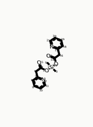 C[Si](C)(OC(=O)Cc1ccccn1)OC(=O)Cc1ccccn1